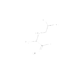 CC(NCC(O)O)C(=O)O.[LiH]